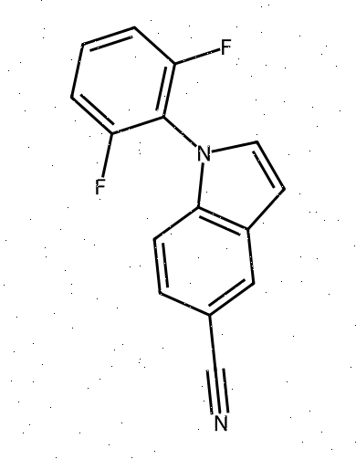 N#Cc1ccc2c(ccn2-c2c(F)cccc2F)c1